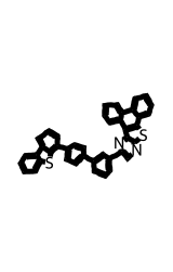 c1cc(-c2ccc(-c3cccc4c3sc3ccccc34)cc2)cc(-c2cnc3sc4c5ccccc5c5ccccc5c4c3n2)c1